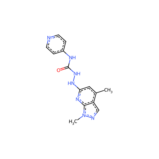 Cc1cc(NNC(=O)Nc2ccncc2)nc2c1cnn2C